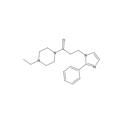 CCN1CCN(C(=O)CCn2ccnc2-c2ccccc2)CC1